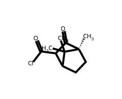 CC1(C)C2CC[C@]1(C)C(=O)C2C(=O)Cl